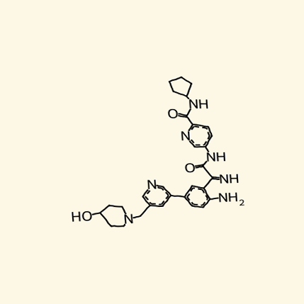 N=C(C(=O)Nc1ccc(C(=O)NC2CCCC2)nc1)c1cc(-c2cncc(CN3CCC(O)CC3)c2)ccc1N